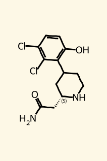 NC(=O)C[C@@H]1CC(c2c(O)ccc(Cl)c2Cl)CCN1